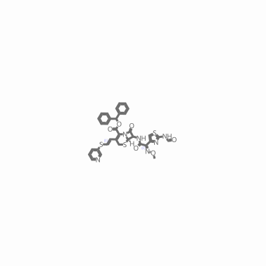 CO/N=C(/C(=O)NC1C(=O)N2C(C(=O)OC(c3ccccc3)c3ccccc3)=C(/C=C/Sc3cccnc3)CS[C@H]12)c1csc(NC=O)n1